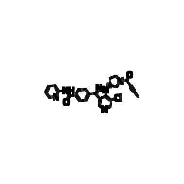 CC#CC(=O)N1CC[C@H](n2nc(-c3ccc(C(=O)Nc4ccccn4)cc3)c3cncc(Cl)c32)C1